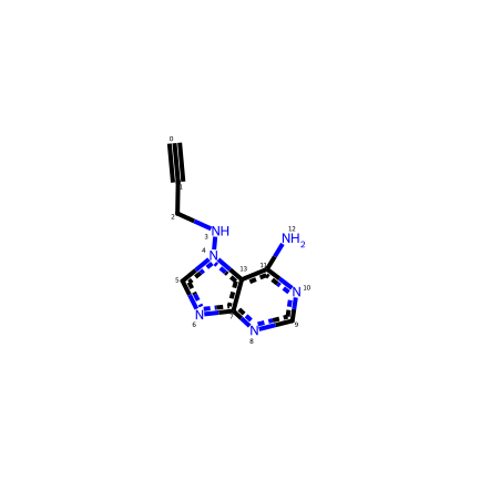 C#CCNn1cnc2ncnc(N)c21